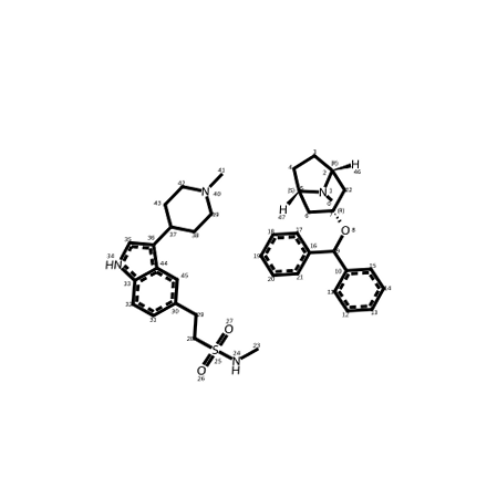 CN1[C@@H]2CC[C@H]1C[C@@H](OC(c1ccccc1)c1ccccc1)C2.CNS(=O)(=O)CCc1ccc2[nH]cc(C3CCN(C)CC3)c2c1